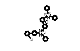 N#Cc1ccccc1-c1ccc(-c2nc(-c3ccccc3)nc(-c3ccc4oc5c(-c6nc(-c7ccccc7)nc(-c7ccccc7)n6)cccc5c4c3)n2)cc1